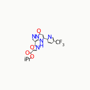 CC(C)OC(=O)c1cnc(-c2cnn3c(=O)cc(-c4ccc(C(F)(F)F)cn4)[nH]c23)o1